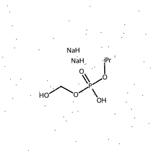 CC(C)OP(=O)(O)OCO.[NaH].[NaH]